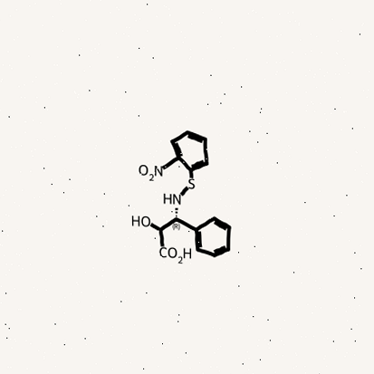 O=C(O)C(O)[C@H](NSc1ccccc1[N+](=O)[O-])c1ccccc1